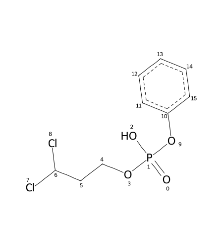 O=P(O)(OCCC(Cl)Cl)Oc1ccccc1